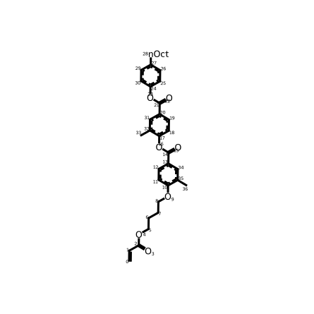 C=CC(=O)OCCCCOc1ccc(C(=O)Oc2ccc(C(=O)Oc3ccc(CCCCCCCC)cc3)cc2C)cc1C